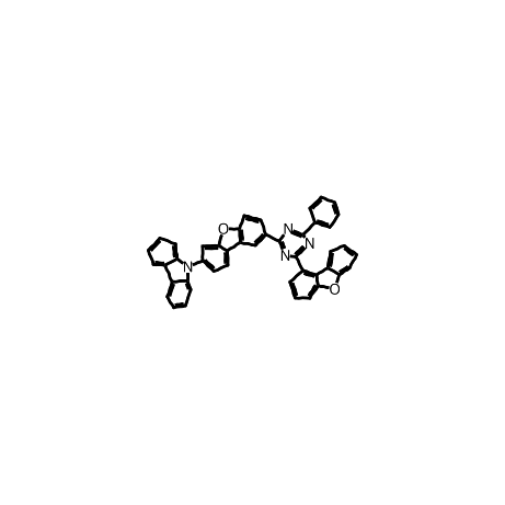 c1ccc(-c2nc(-c3ccc4oc5cc(-n6c7ccccc7c7ccccc76)ccc5c4c3)nc(-c3cccc4oc5ccccc5c34)n2)cc1